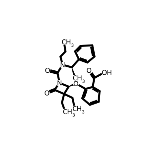 CCCN(C(=O)N1C(=O)C(CC)(CC)[C@@H]1Oc1ccccc1C(=O)O)[C@H](C)c1ccccc1